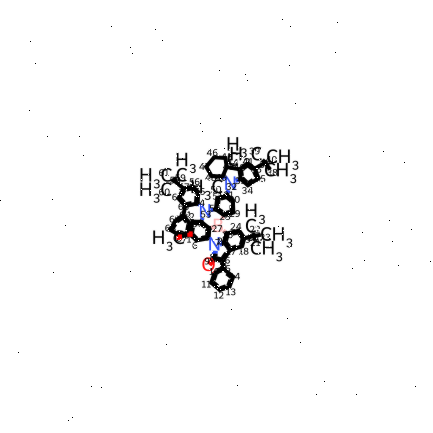 Cc1cc2c3c(c1)-n1c4oc5ccccc5c4c4cc(C(C)(C)C)cc(c41)B3c1ccc(N3c4ccc(C(C)(C)C)cc4C4(C)CCCCC34C)cc1N2c1ccc(C(C)(C)C)cc1-c1ccccc1